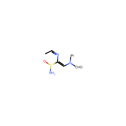 C/C=N\C(=C/N(C=O)C(C)C)[S+](N)[O-]